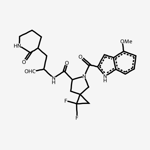 COc1cccc2[nH]c(C(=O)N3CC4(CC3C(=O)NC(C=O)CC3CCCNC3=O)CC4(F)F)cc12